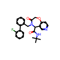 CC(C)(C)NC(=O)C1c2cnccc2OCC(=O)N1Cc1ccccc1-c1ccccc1F